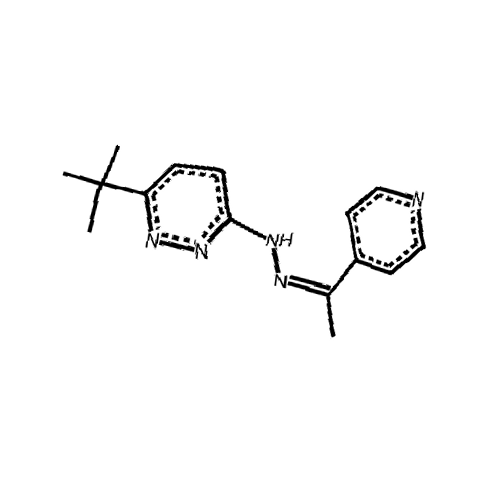 CC(=NNc1ccc(C(C)(C)C)nn1)c1ccncc1